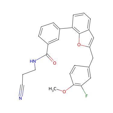 COc1ccc(Cc2cc3cccc(-c4cccc(C(=O)NCCC#N)c4)c3o2)cc1F